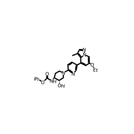 CCOc1cc(-c2ccc(N3CC[C@H](NC(=O)OC(C)C)[C@@H](O)C3)nc2)c2c(C)cnn2c1